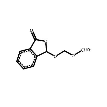 O=[C]OCOC1OC(=O)c2ccccc21